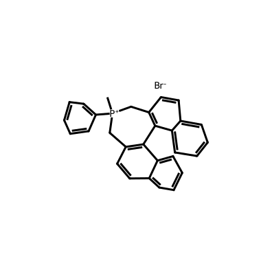 C[P+]1(c2ccccc2)Cc2ccc3ccccc3c2-c2c(ccc3ccccc23)C1.[Br-]